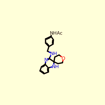 CC(=O)Nc1ccc(CNC2=Nc3ccccc3NC23CCOCC3)cc1